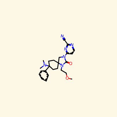 COCCN1C(=O)N(c2ccnc(C#N)n2)CC12CCC(c1ccccc1)(N(C)C)CC2